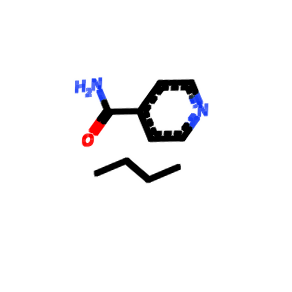 CCCC.NC(=O)c1ccncc1